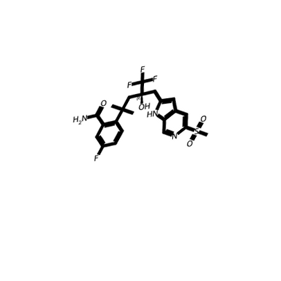 CC(C)(C[C@@](O)(Cc1cc2cc(S(C)(=O)=O)ncc2[nH]1)C(F)(F)F)c1ccc(F)cc1C(N)=O